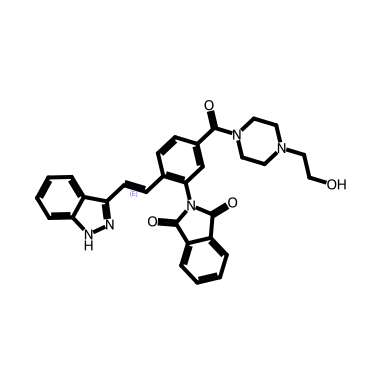 O=C(c1ccc(/C=C/c2n[nH]c3ccccc23)c(N2C(=O)c3ccccc3C2=O)c1)N1CCN(CCO)CC1